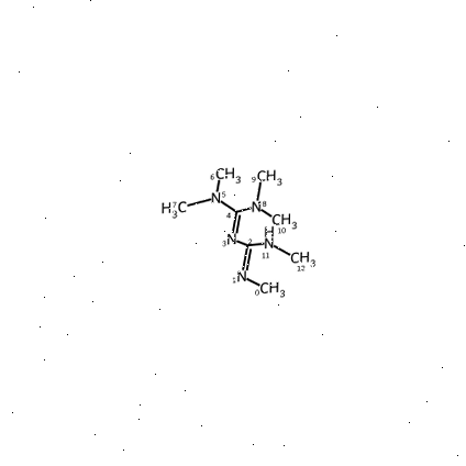 C/N=C(/N=C(N(C)C)N(C)C)NC